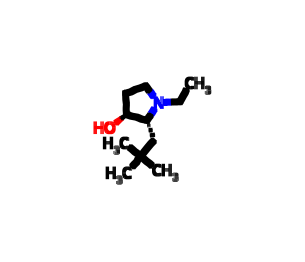 CCN1CC[C@H](O)[C@H]1CC(C)(C)C